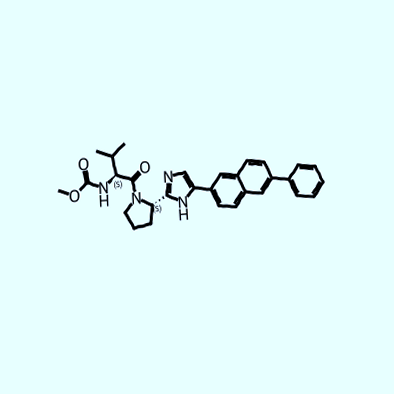 COC(=O)N[C@H](C(=O)N1CCC[C@H]1c1ncc(-c2ccc3cc(-c4ccccc4)ccc3c2)[nH]1)C(C)C